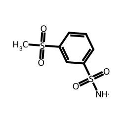 CS(=O)(=O)c1cccc(S([NH])(=O)=O)c1